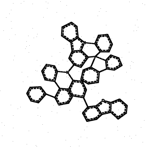 c1ccc(-c2ccccc2-c2ccccc2N(c2ccc(-c3cccc4c3oc3ccccc34)cc2)c2cc3c4c(c2)c2ccccc2n4-c2ccccc2C32c3ccccc3-c3ccccc32)cc1